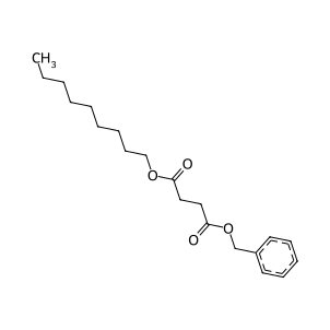 CCCCCCCCCOC(=O)CCC(=O)OCc1ccccc1